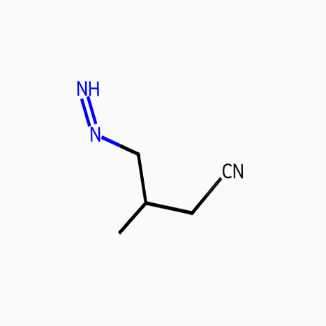 CC(CC#N)CN=N